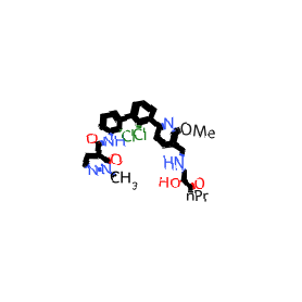 CCCC(=O)[C@@H](O)CNCc1ccc(-c2cccc(-c3cccc(NC(=O)c4ccnn(C)c4=O)c3Cl)c2Cl)nc1OC